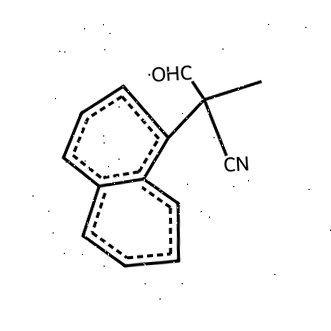 CC([C]=O)(C#N)c1cccc2ccccc12